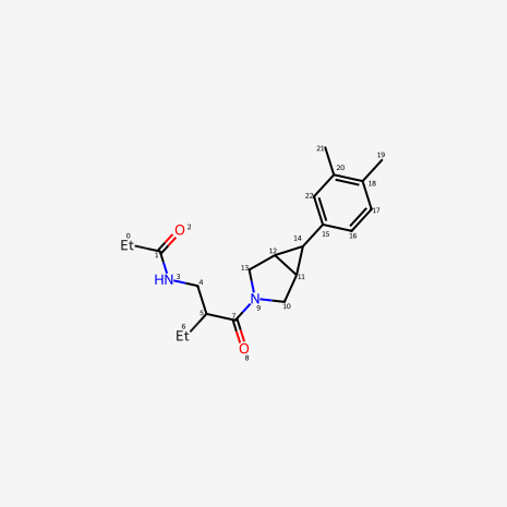 CCC(=O)NCC(CC)C(=O)N1CC2C(C1)C2c1ccc(C)c(C)c1